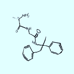 C[C@H](N)C(=O)NCC(=O)NC(C)(Cc1ccccc1)c1ccccc1